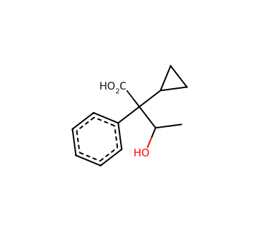 CC(O)C(C(=O)O)(c1ccccc1)C1CC1